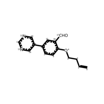 C=CCCOc1ccc(-c2cncnc2)cc1C=O